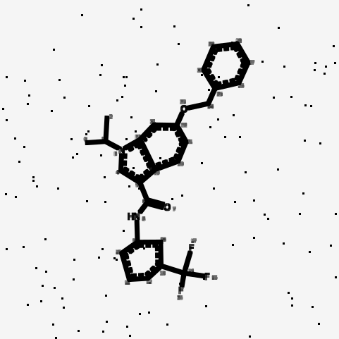 CC(C)n1cc(C(=O)Nc2cccc(C(F)(F)F)c2)c2ccc(OCc3ccccc3)cc21